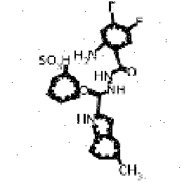 Cc1ccc2[nH]c(C(=O)NNC(=O)c3cc(F)c(F)cc3N)cc2c1.O=S(=O)(O)c1ccccc1